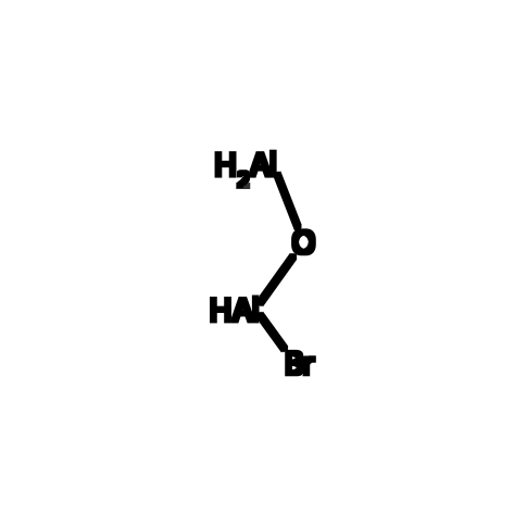 [AlH2][O][AlH][Br]